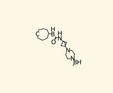 CBN1CCN(C23CC(NC(=O)BC4CCCCCCC4)(C2)C3)CC1